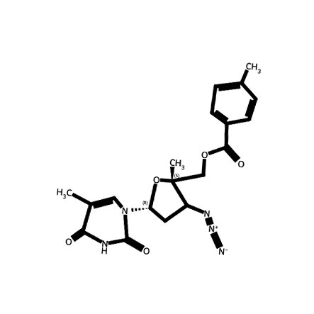 Cc1ccc(C(=O)OC[C@@]2(C)O[C@@H](n3cc(C)c(=O)[nH]c3=O)CC2N=[N+]=[N-])cc1